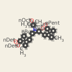 CCCCCCCCCCOc1ccc(C2(c3ccc(CCCC)cc3)c3cc(C)ccc3-c3ccc(-c4ccc5c(c4)c4cc(-c6ccc7c(c6)C(c6ccccc6)(c6ccc(OCCCCC)c(OCCCCC)c6)c6cc(C)ccc6-7)ccc4n5-c4cc(C)c(OCCCCCCCC)c(C)c4)cc32)cc1OCCCCCCCCCC